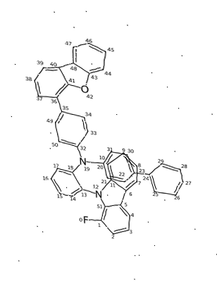 Fc1cccc2c3ccccc3n(-c3ccccc3N(c3ccc(-c4ccccc4)cc3)c3ccc(-c4cccc5c4oc4ccccc45)cc3)c12